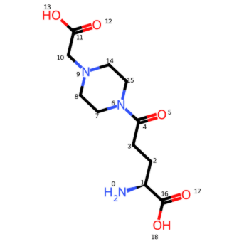 N[C@@H](CCC(=O)N1CCN(CC(=O)O)CC1)C(=O)O